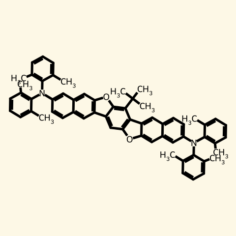 Cc1cccc(C)c1N(c1ccc2cc3c(cc2c1)oc1c(C(C)(C)C)c2c(cc13)oc1cc3cc(N(c4c(C)cccc4C)c4c(C)cccc4C)ccc3cc12)c1c(C)cccc1C